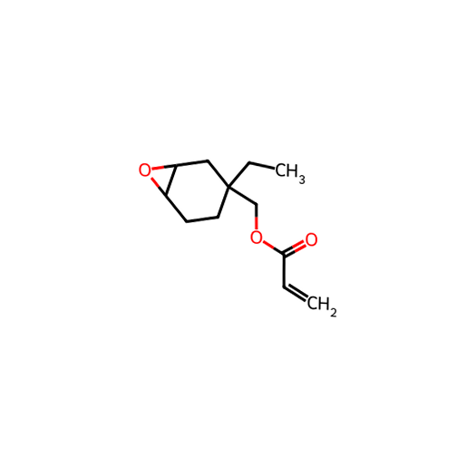 C=CC(=O)OCC1(CC)CCC2OC2C1